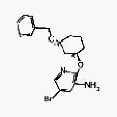 Nc1cc(Br)cnc1O[C@@H]1CCC[C@@H](OCc2ccccc2)C1